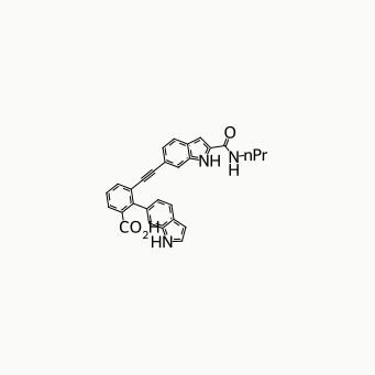 CCCNC(=O)c1cc2ccc(C#Cc3cccc(C(=O)O)c3-c3ccc4cc[nH]c4c3)cc2[nH]1